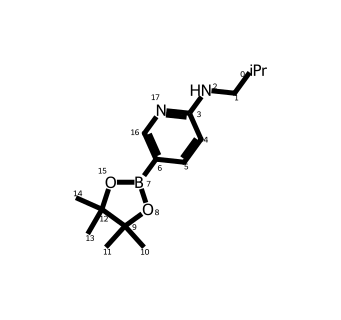 CC(C)CNc1ccc(B2OC(C)(C)C(C)(C)O2)cn1